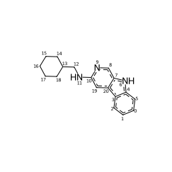 c1ccc2c(c1)[nH]c1cnc(NCC3CCCCC3)cc12